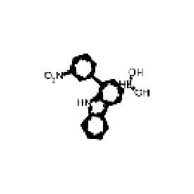 O=[N+]([O-])c1cccc(-c2cccc3c2[nH]c2ccccc23)c1.OBO